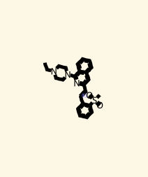 CCN1CCN(c2nc(/C=C/c3ccccc3S(C)(=O)=O)cc3ccccc23)CC1